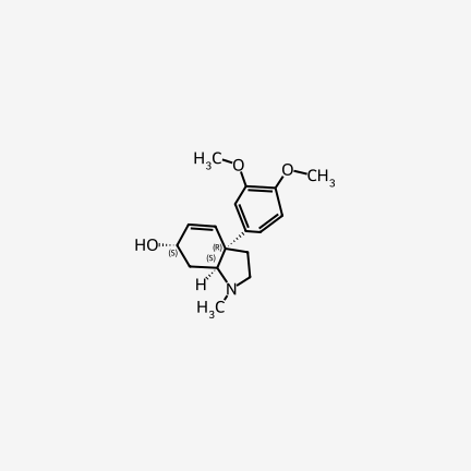 COc1ccc([C@@]23C=C[C@@H](O)C[C@@H]2N(C)CC3)cc1OC